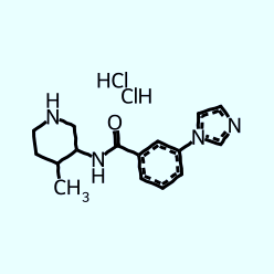 CC1CCNCC1NC(=O)c1cccc(-n2ccnc2)c1.Cl.Cl